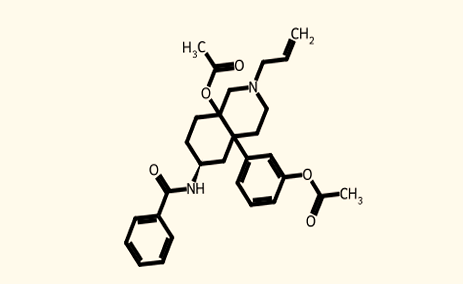 C=CCN1CCC2(c3cccc(OC(C)=O)c3)C[C@@H](NC(=O)c3ccccc3)CCC2(OC(C)=O)C1